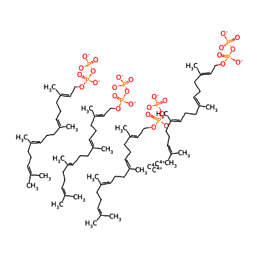 CC(C)=CCCC(C)=CCCC(C)=CCCC(C)=CCOP(=O)([O-])OP(=O)([O-])[O-].CC(C)=CCCC(C)=CCCC(C)=CCCC(C)=CCOP(=O)([O-])OP(=O)([O-])[O-].CC(C)=CCCC(C)=CCCC(C)=CCCC(C)=CCOP(=O)([O-])OP(=O)([O-])[O-].CC(C)=CCCC(C)=CCCC(C)=CCCC(C)=CCOP(=O)([O-])OP(=O)([O-])[O-].[C+4].[C+4].[C+4]